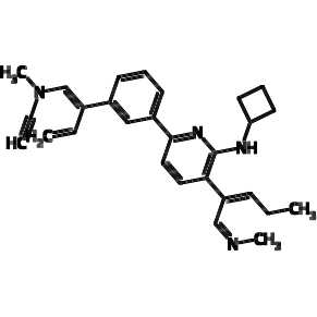 C#CN(C)/C=C(\C=C)c1cccc(-c2ccc(C(/C=N\C)=C/CC)c(NC3CCC3)n2)c1